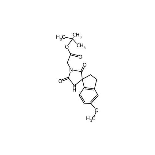 COc1ccc2c(c1)CCC21NC(=O)N(CC(=O)OC(C)(C)C)C1=O